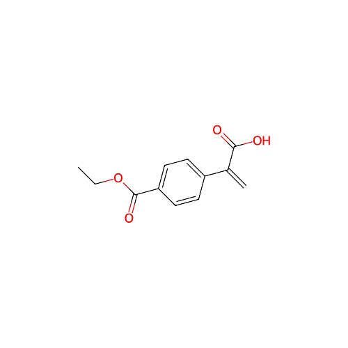 C=C(C(=O)O)c1ccc(C(=O)OCC)cc1